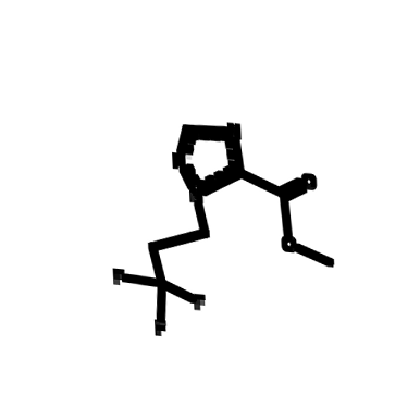 COC(=O)c1ncnn1CCC(F)(F)F